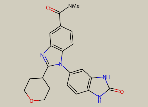 CNC(=O)c1ccc2c(c1)nc(C1CCOCC1)n2-c1ccc2[nH]c(=O)[nH]c2c1